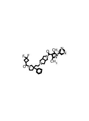 Cc1nn(-c2cncnc2)c(C)c1C(=O)N1CC2CN(CCC3(c4ccccc4)CCN(C(=O)C4CC(F)(F)C4)C3)CC2C1